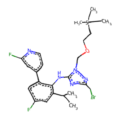 CC(C)c1cc(F)cc(-c2ccnc(F)c2)c1Nc1nc(Br)nn1COCC[Si](C)(C)C